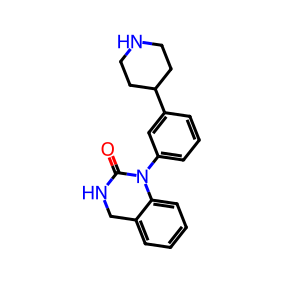 O=C1NCc2ccccc2N1c1cccc(C2CCNCC2)c1